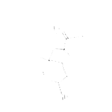 C=C(C(=O)OC1(C)CCC(C(C)C)CC1)C(F)(F)F